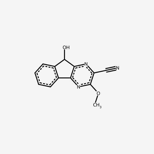 COc1nc2c(nc1C#N)C(O)c1ccccc1-2